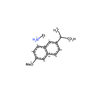 CCN.COc1ccc2cc(C(C)C(=O)O)ccc2c1